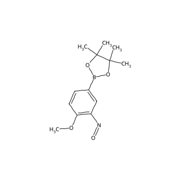 COc1ccc(B2OC(C)(C)C(C)(C)O2)cc1N=O